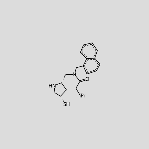 CC(C)CC(=O)N(Cc1cccc2ccccc12)C[C@@H]1C[C@H](S)CN1